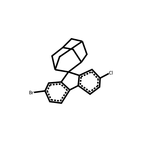 Clc1ccc2c(c1)C1(c3cc(Br)ccc3-2)C2CC3CC(C2)CC1C3